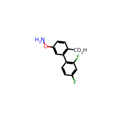 NOc1ccc(C(=O)O)c(-c2ccc(F)cc2F)c1